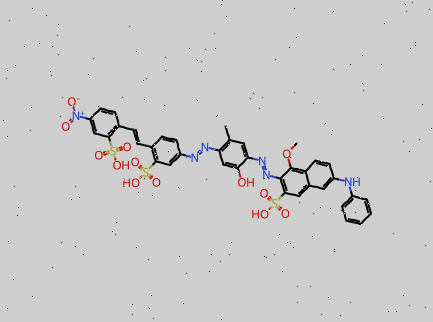 COc1c(N=Nc2cc(C)c(N=Nc3ccc(C=Cc4ccc([N+](=O)[O-])cc4S(=O)(=O)O)c(S(=O)(=O)O)c3)cc2O)c(S(=O)(=O)O)cc2cc(Nc3ccccc3)ccc12